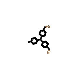 Cc1ccc(C(c2ccc(CBr)cc2)c2ccc(CBr)cc2)cc1